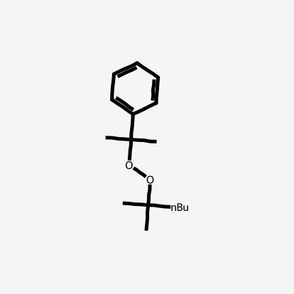 CCCCC(C)(C)OOC(C)(C)c1ccccc1